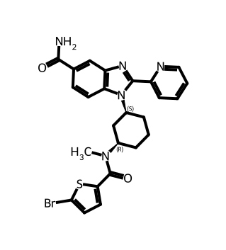 CN(C(=O)c1ccc(Br)s1)[C@@H]1CCC[C@H](n2c(-c3ccccn3)nc3cc(C(N)=O)ccc32)C1